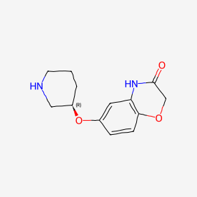 O=C1COc2ccc(O[C@@H]3CCCNC3)cc2N1